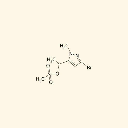 CC(OS(C)(=O)=O)c1cc(Br)nn1C